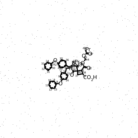 CCCN(Cc1ccc(Oc2ccccc2)cc1)C(=O)C1(C(=O)N(CCC)Cc2ccc(Oc3ccccc3)cc2)CC(C(=O)O)C1C(=O)OCOC(=O)C(C)C